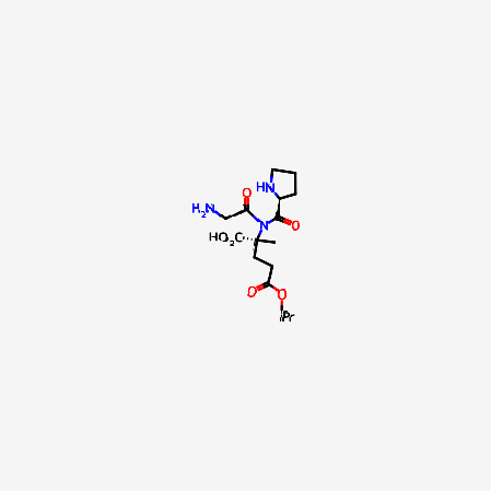 CC(C)OC(=O)CC[C@@](C)(C(=O)O)N(C(=O)CN)C(=O)[C@@H]1CCCN1